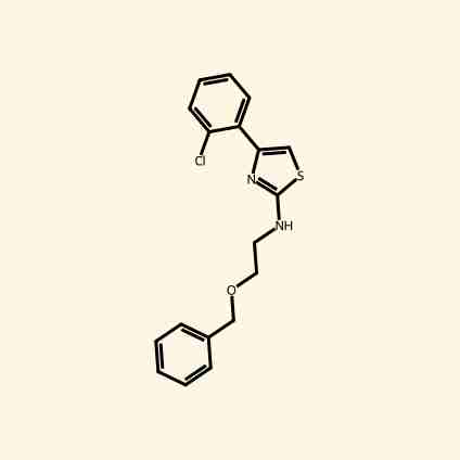 Clc1ccccc1-c1csc(NCCOCc2ccccc2)n1